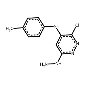 Cc1ccc(Nc2cc(NN)nnc2Cl)cc1